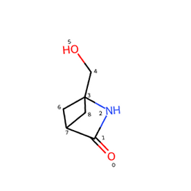 O=C1NC2(CO)CC1C2